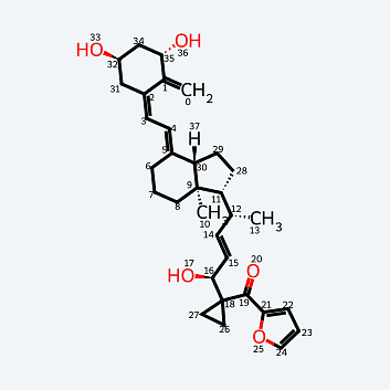 C=C1/C(=C\C=C2/CCC[C@]3(C)[C@@H]([C@H](C)/C=C/[C@H](O)C4(C(=O)c5ccco5)CC4)CC[C@@H]23)C[C@@H](O)C[C@@H]1O